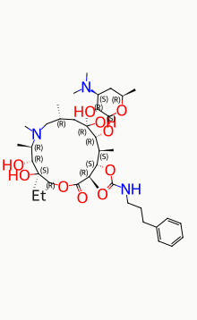 CC[C@H]1OC(=O)[C@H](C)[C@@H](OC(=O)NCCCc2ccccc2)[C@H](C)[C@@H](O[C@@H]2O[C@H](C)C[C@H](N(C)C)[C@H]2O)[C@](C)(O)C[C@@H](C)CN(C)[C@H](C)[C@@H](O)[C@]1(C)O